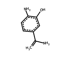 C=C(N)c1ccc(N)c(O)c1